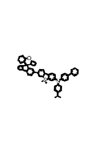 CC(C)c1ccc(N(c2ccc(-c3ccccc3)cc2)c2ccc3c(c2)S(C)(C)c2cc(-c4ccc5c(c4)C4(c6ccccc6Oc6ccccc64)c4ccccc4-5)ccc2-3)cc1